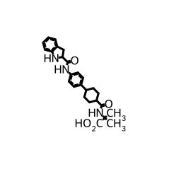 CC(C)(NC(=O)C1CCC(c2ccc(NC(=O)C3Cc4ccccc4N3)cc2)CC1)C(=O)O